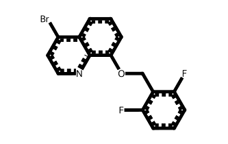 Fc1cccc(F)c1COc1cccc2c(Br)ccnc12